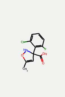 CC1=CC(C(=O)O)(c2c(F)cccc2Cl)NO1